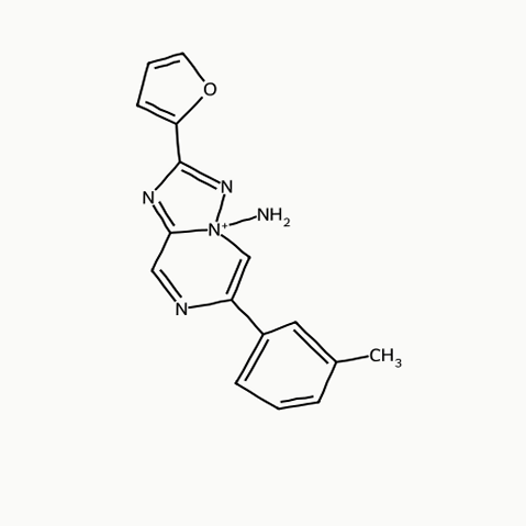 Cc1cccc(C2=C[N+]3(N)N=C(c4ccco4)N=C3C=N2)c1